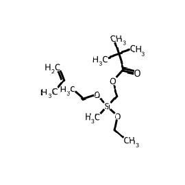 C=CC.CCO[Si](C)(COC(=O)C(C)(C)C)OCC